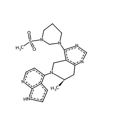 C[C@@H]1Cc2ncnc(N3CCCN(S(C)(=O)=O)C3)c2CN1c1ccnc2[nH]ccc12